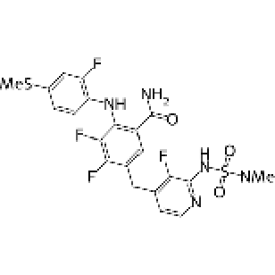 CNS(=O)(=O)Nc1nccc(Cc2cc(C(N)=O)c(Nc3ccc(SC)cc3F)c(F)c2F)c1F